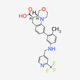 Cc1ccc(NCc2ccnc(C(F)(F)F)c2)cc1-c1ccc2c(c1)N1CCOC[C@H]1[C@H](C(=O)O)C2